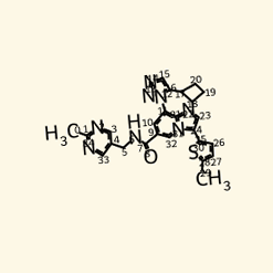 Cc1ncc(CNC(=O)c2cc(-n3nncc3C3CCC3)c3ncc(-c4ccc(C)s4)n3c2)cn1